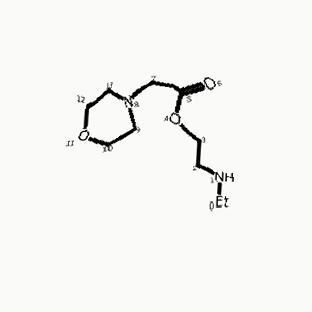 CCNCCOC(=O)CN1CCOCC1